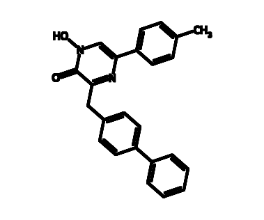 Cc1ccc(-c2cn(O)c(=O)c(Cc3ccc(-c4ccccc4)cc3)n2)cc1